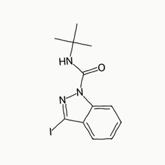 CC(C)(C)NC(=O)n1nc(I)c2ccccc21